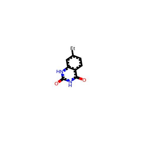 CCc1ccc2c(=O)[nH]c(=O)[nH]c2c1